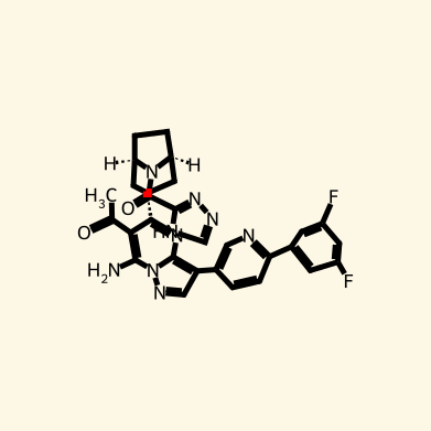 CC(=O)c1c([C@@H]2C[C@H]3CC[C@@H](C2)N3C(=O)c2nnc[nH]2)nc2c(-c3ccc(-c4cc(F)cc(F)c4)nc3)cnn2c1N